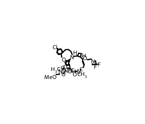 COCCN(C)S(=O)(=O)NC(=O)[C@@]1(O)CC(=O)N(C)CC/C=C/[C@H](OCCN2CC(F)(F)C2)[C@@H]2CC[C@H]2CN2CCCCc3cc(Cl)ccc3COc3ccc1cc32